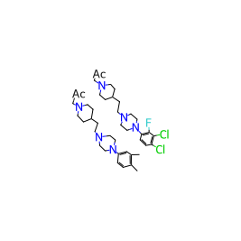 CC(=O)CN1CCC(CCN2CCN(c3ccc(C)c(C)c3)CC2)CC1.CC(=O)CN1CCC(CCN2CCN(c3ccc(Cl)c(Cl)c3F)CC2)CC1